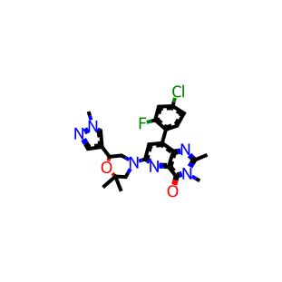 Cc1nc2c(-c3ccc(Cl)cc3F)cc(N3CC(c4cnn(C)c4)OC(C)(C)C3)nc2c(=O)n1C